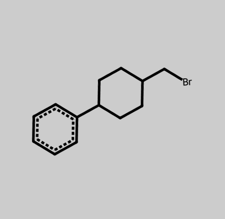 BrCC1CCC(c2ccccc2)CC1